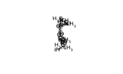 CC(C)CCCC(C)[C@H]1CC[C@H]2[C@@H]3CC=C4C[C@@H](OC(=O)CCCCC(=O)N(CCCN(C)C)CCCN(C)C)CC[C@]4(C)[C@H]3CC[C@]12C